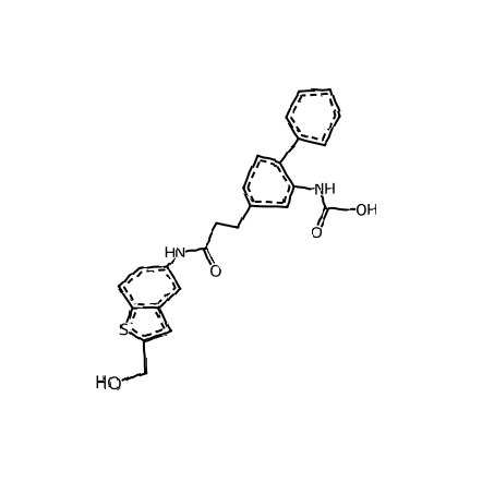 O=C(O)Nc1cc(CCC(=O)Nc2ccc3sc(CO)cc3c2)ccc1-c1ccccc1